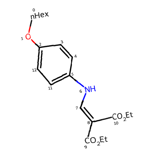 CCCCCCOc1ccc(NC=C(C(=O)OCC)C(=O)OCC)cc1